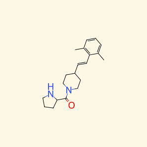 Cc1cccc(C)c1/C=C/C1CCN(C(=O)C2CCCN2)CC1